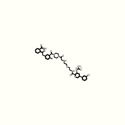 CC(=O)Nc1cc(-c2cccc(Cl)c2)cnc1C(=O)NCCOCCNCC(=O)N1CCN(C(=O)c2cc(Cc3n[nH]c(=O)c4ccccc34)ccc2F)CC1